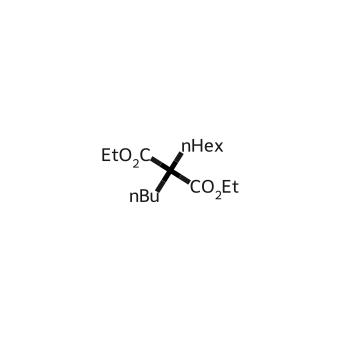 CCCCCCC(CCCC)(C(=O)OCC)C(=O)OCC